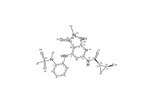 CN(c1ccccc1Nc1cc(NC(=O)[C@@H]2C[C@@H]2F)nc2[nH]n(C)c(=O)c12)S(C)(=O)=O